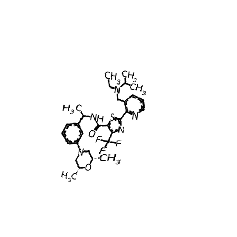 CCN(Cc1cccnc1-c1nc(C(F)(F)F)c(C(=O)NC(C)c2cccc(N3C[C@@H](C)O[C@@H](C)C3)c2)s1)C(C)C